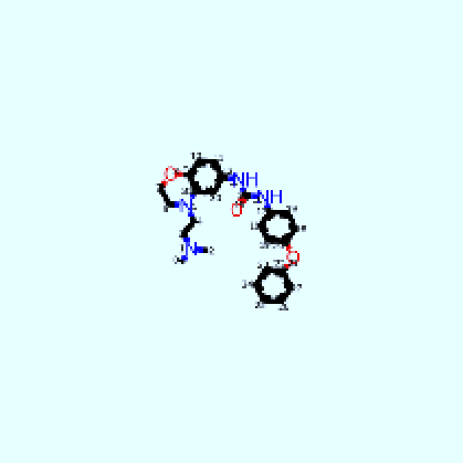 CN(C)CCN1CCOc2ccc(NC(=O)Nc3ccc(Oc4ccccc4)cc3)cc21